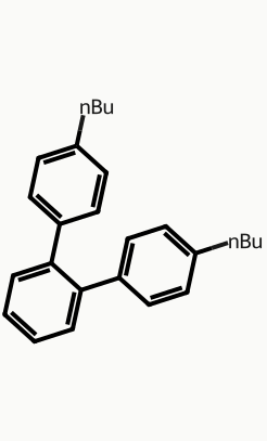 CCCCc1ccc(-c2ccccc2-c2ccc(CCCC)cc2)cc1